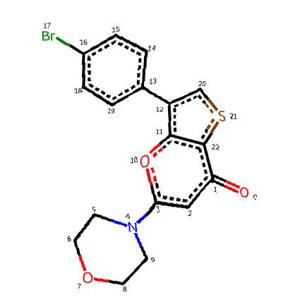 O=c1cc(N2CCOCC2)oc2c(-c3ccc(Br)cc3)csc12